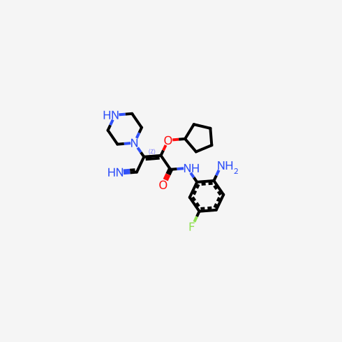 N=C/C(=C(/OC1CCCC1)C(=O)Nc1cc(F)ccc1N)N1CCNCC1